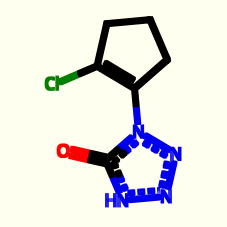 O=c1[nH]nnn1C1=C(Cl)CCC1